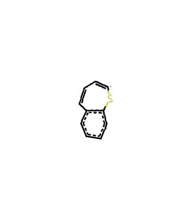 [C]1=CC=Cc2ccccc2S1